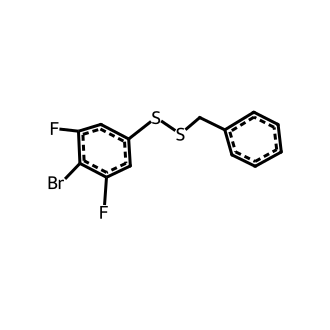 Fc1cc(SSCc2ccccc2)cc(F)c1Br